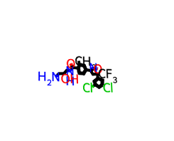 Cc1cc(C2=NOC(c3cc(Cl)cc(Cl)c3)(C(F)(F)F)C2)ccc1C(=O)NCC(O)CN